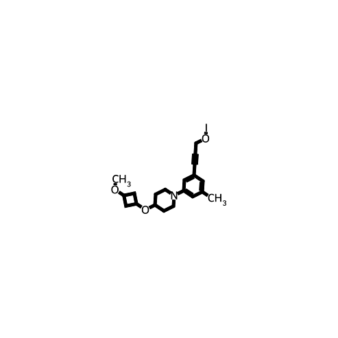 COC1CC(OC2CCN(c3cc(C)cc(C#CCOI)c3)CC2)C1